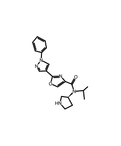 CC(C)N(C(=O)c1coc(-c2cnn(-c3ccccc3)c2)n1)[C@H]1CCNC1